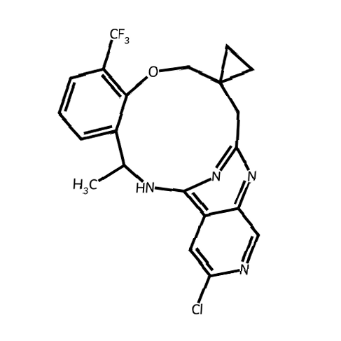 CC1Nc2nc(nc3cnc(Cl)cc23)CC2(CC2)COc2c1cccc2C(F)(F)F